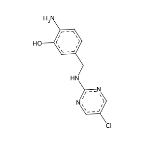 Nc1ccc(CNc2ncc(Cl)cn2)cc1O